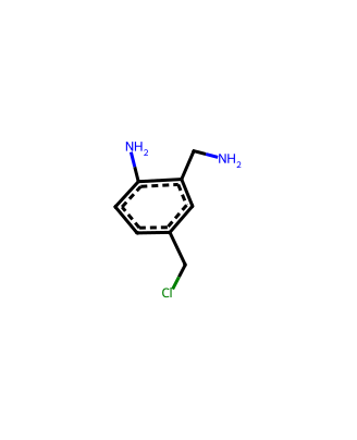 NCc1cc(CCl)ccc1N